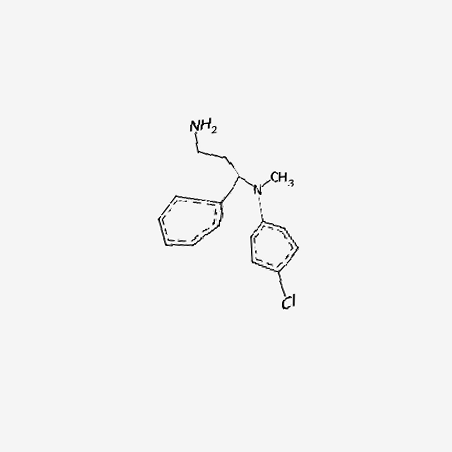 CN(c1ccc(Cl)cc1)C(CCN)c1ccccc1